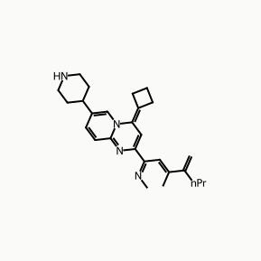 C=C(CCC)/C(C)=C/C(=N\C)C1=CC(=C2CCC2)N2C=C(C3CCNCC3)C=CC2=N1